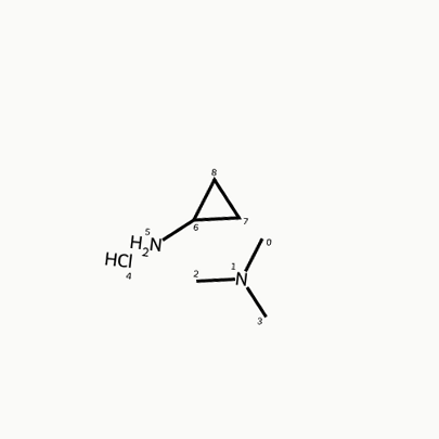 CN(C)C.Cl.NC1CC1